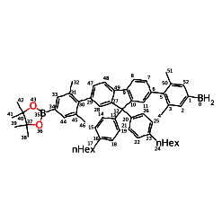 Bc1cc(C)c(-c2ccc3c(c2)C(c2ccc(CCCCCC)cc2)(c2ccc(CCCCCC)cc2)c2cc(-c4c(C)cc(B5OC(C)(C)C(C)(C)O5)cc4C)ccc2-3)c(C)c1